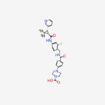 [2H]C1([2H])[C@H](C(=O)Nc2ccc(CNC(=O)c3ccc(N4CCN(C(=O)O)CC4)cc3)c(F)c2)[C@H]1c1cccnc1